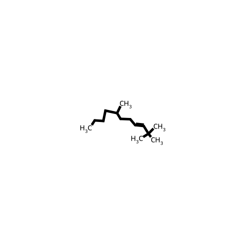 CCCCC(C)CCC=CC(C)(C)C